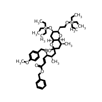 CC[Si](CC)(CC)OCC[C@H]1O[C@@H]2[C@H](C[C@H]1O[Si](CC)(CC)CC)OC(O)(C[C@H](C)[C@@H](/C=C/C(=O)OCc1ccccc1)OCc1ccc(OC)cc1)C[C@@H]2C